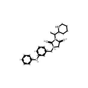 CC(C1CCCCN1)N1C(=O)CN(Cc2cccc(Oc3ccccc3)c2)C1=O